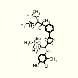 C[SiH2]OC(O[SiH2]C)C(C)(C)c1cccc(-c2nnc([C@H](Nc3ccc(C#N)c(Cl)c3C)[C@H](C)O[Si](C)(C)C(C)(C)C)o2)c1